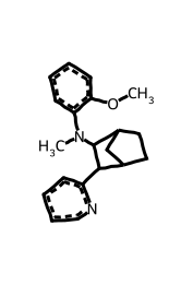 COc1ccccc1N(C)C1C2CCC(C2)C1c1ccccn1